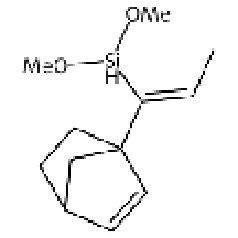 C/C=C(\[SiH](OC)OC)C12C=CC(CC1)C2